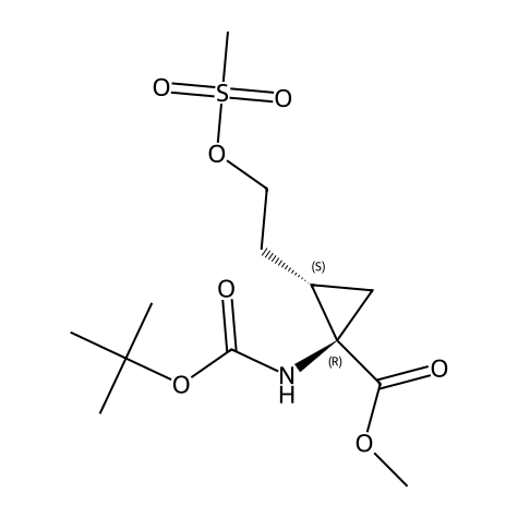 COC(=O)[C@@]1(NC(=O)OC(C)(C)C)C[C@H]1CCOS(C)(=O)=O